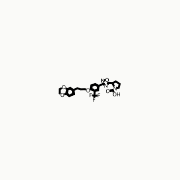 O=C(O)N1CCCC1c1nc(-c2ccc(OCCCc3ccc4c(c3)OCCO4)c(C(F)(F)F)c2)no1